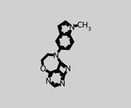 Cn1ccc2cc(N3CCOc4ncnc5c4C3=N5)ccc21